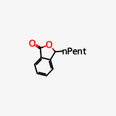 CCCCCC1OC(=O)c2ccccc21